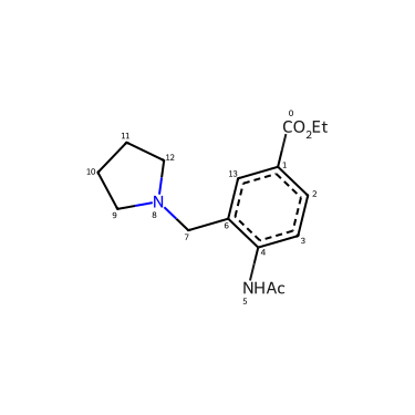 CCOC(=O)c1ccc(NC(C)=O)c(CN2CCCC2)c1